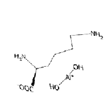 NCCCC[C@H](N)C(=O)[O-].[OH][Al+][OH]